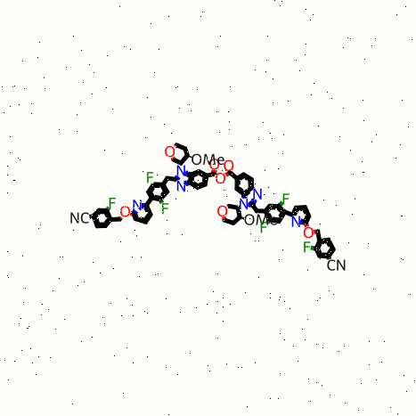 CO[C@H]1CCOC[C@H]1n1c(Cc2cc(F)c(-c3cccc(OCc4ccc(C#N)cc4F)n3)cc2F)nc2ccc(C(=O)OC(=O)c3ccc4nc(Cc5cc(F)c(-c6cccc(OCc7ccc(C#N)cc7F)n6)cc5F)n([C@@H]5COCC[C@@H]5OC)c4c3)cc21